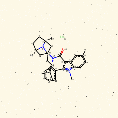 CC(C)=CCCN1[C@@H]2CC[C@H]1C[C@@H](NC(=O)c1c(-c3ccccc3)n(C)c3ccc(C)cc13)C2.Cl